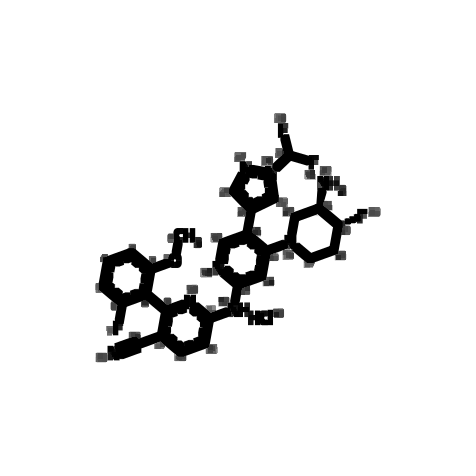 COc1cccc(F)c1-c1nc(Nc2cc(N3CC[C@@H](F)[C@H](N)C3)c(-c3cnn(C(F)F)c3)cn2)ccc1C#N.Cl